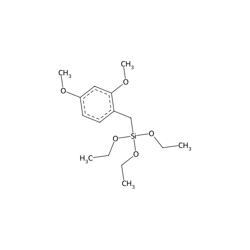 CCO[Si](Cc1ccc(OC)cc1OC)(OCC)OCC